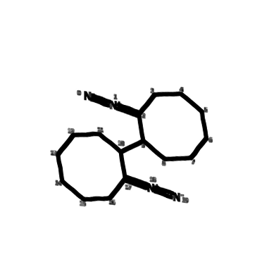 [N-]=[N+]=C1CCCCCCC1C1CCCCCCC1=[N+]=[N-]